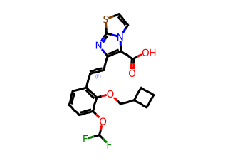 O=C(O)c1c(/C=C/c2cccc(OC(F)F)c2OCC2CCC2)nc2sccn12